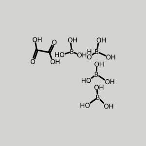 O=C(O)C(=O)O.OB(O)O.OB(O)O.OB(O)O.OB(O)O